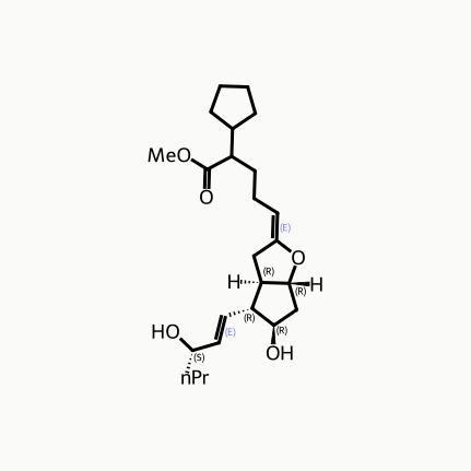 CCC[C@H](O)/C=C/[C@@H]1[C@H]2C/C(=C\CCC(C(=O)OC)C3CCCC3)O[C@@H]2C[C@H]1O